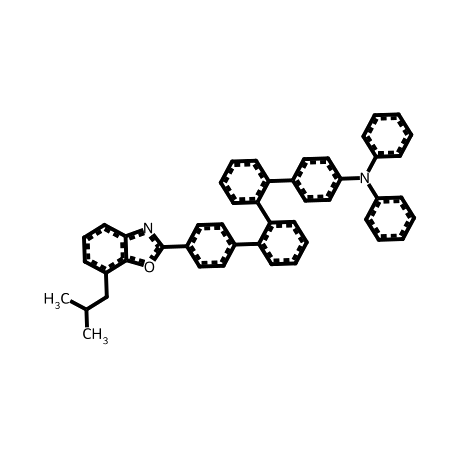 CC(C)Cc1cccc2nc(-c3ccc(-c4ccccc4-c4ccccc4-c4ccc(N(c5ccccc5)c5ccccc5)cc4)cc3)oc12